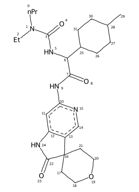 CCCN(CC)C(=O)NC(C(=O)Nc1cc2c(cn1)C1(CCOCC1)C(=O)N2)C1CCC(C)CC1